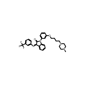 CN1CCN(CCCCOc2cccc(N3C(=O)C(=Nc4cccc(C(F)(F)F)c4)c4ccccc43)c2)CC1